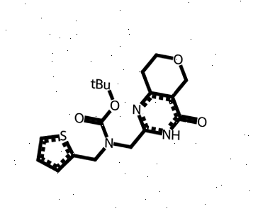 CC(C)(C)OC(=O)N(Cc1nc2c(c(=O)[nH]1)COCC2)Cc1cccs1